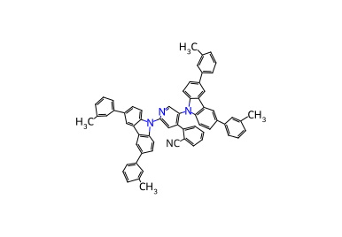 Cc1cccc(-c2ccc3c(c2)c2cc(-c4cccc(C)c4)ccc2n3-c2cc(-c3ccccc3C#N)c(-n3c4ccc(-c5cccc(C)c5)cc4c4cc(-c5cccc(C)c5)ccc43)cn2)c1